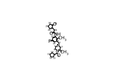 Cc1c(CN2CCN(C(=O)C3CCCC3)C(C)C2)cc(F)cc1NC(=O)CC1CCCC1=O